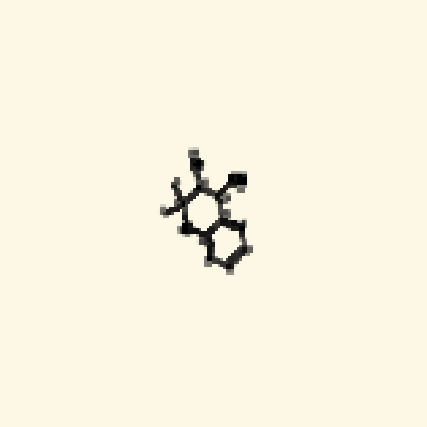 CC1(C)Oc2ccccc2C(O)C1Br